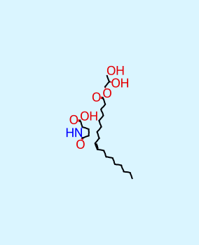 CCCCCCCC/C=C\CCCCCCCC(=O)OCC(O)CO.O=C1CCC(C(=O)O)N1